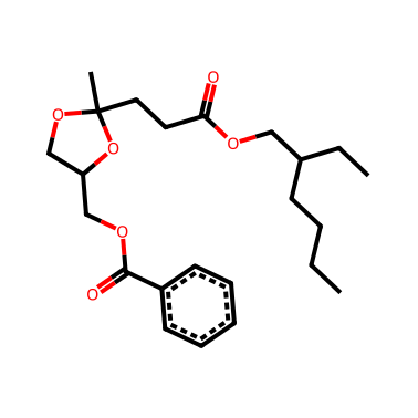 CCCCC(CC)COC(=O)CCC1(C)OCC(COC(=O)c2ccccc2)O1